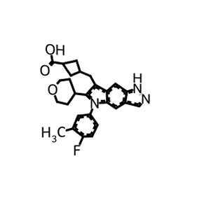 Cc1cc(-n2c(C3CCOCC3)c(CC3CC(C(=O)O)C3)c3cc4[nH]ncc4cc32)ccc1F